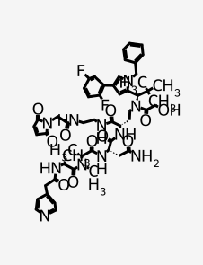 C[C@H](NC(=O)Cc1ccncc1)C(=O)N(C)[C@@H](C)C(=O)N[C@@H](CC(N)=O)C(=O)N[C@@H](CCN(C(=O)CO)[C@@H](c1cc(-c2cc(F)ccc2F)cn1Cc1ccccc1)C(C)(C)C)C(=O)NCCNC(=O)CN1C(=O)C=CC1=O